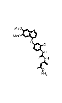 C=C(/C=C(/C)ON)NC(=O)Nc1ccc(Oc2ccnc3cc(OC)c(OC)cc23)cc1Cl